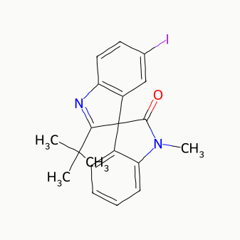 CN1C(=O)C2(C(C(C)(C)C)=Nc3ccc(I)cc32)c2ccccc21